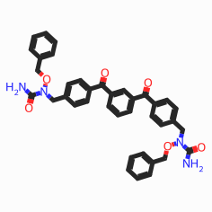 NC(=O)N(Cc1ccc(C(=O)c2cccc(C(=O)c3ccc(CN(OCc4ccccc4)C(N)=O)cc3)c2)cc1)OCc1ccccc1